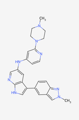 CN1CCN(c2cc(Nc3cnc4[nH]cc(-c5ccc6nn(C)cc6c5)c4c3)ccn2)CC1